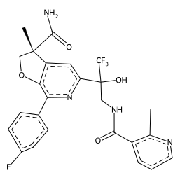 Cc1ncccc1C(=O)NCC(O)(c1cc2c(c(-c3ccc(F)cc3)n1)OC[C@]2(C)C(N)=O)C(F)(F)F